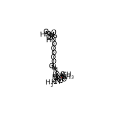 Cc1cnc(Nc2ccc(N3CCN(C(=O)CCOCCOCCOCCOCCOCCNc4cccc5c4C(=O)N(C4CCC(=O)NC4=O)C5=O)CC3)cc2)nc1Nc1cccc(S(=O)(=O)NC(C)(C)C)c1